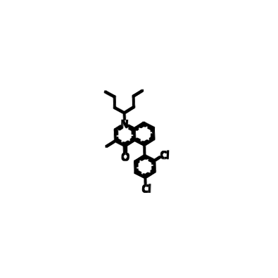 CCCC(CCC)n1cc(C)c(=O)c2c(-c3ccc(Cl)cc3Cl)cccc21